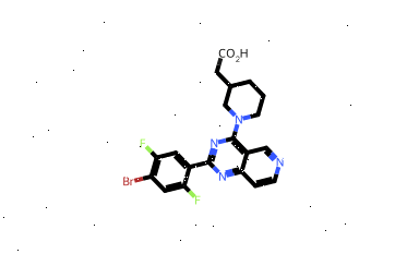 O=C(O)CC1CCCN(c2nc(-c3cc(F)c(Br)cc3F)nc3ccncc23)C1